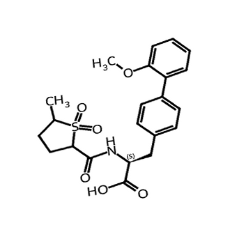 COc1ccccc1-c1ccc(C[C@H](NC(=O)C2CCC(C)S2(=O)=O)C(=O)O)cc1